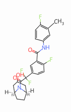 Cc1cc(NC(=O)c2cc(C(F)(F)C(=O)N3[C@@H]4CC[C@H]3CC(O)C4)ccc2F)ccc1F